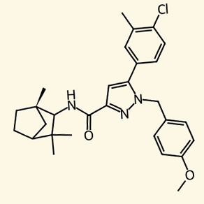 COc1ccc(Cn2nc(C(=O)NC3C(C)(C)C4CC[C@@]3(C)C4)cc2-c2ccc(Cl)c(C)c2)cc1